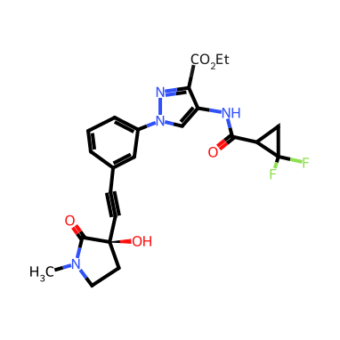 CCOC(=O)c1nn(-c2cccc(C#C[C@]3(O)CCN(C)C3=O)c2)cc1NC(=O)C1CC1(F)F